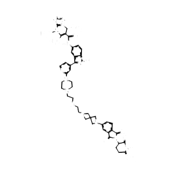 C=C1CCC(N2C(=O)c3ccc(N4CC5(CN(CCOCCN6CCN(c7cc(-c8n[nH]c9ccc(NC(=O)C%10=C(C)N(C)c%11nnnn%11[C@@H]%10C)cc89)ccn7)CC6)C5)C4)cc3C2=O)C(=O)N1